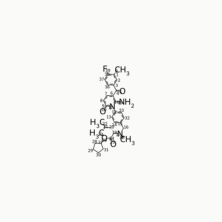 Cc1cc(C(=O)c2ccc(=O)n(-c3ccc(CN(C)[C@@H](CC(C)C)C(=O)OC4CCCC4)cc3)c2N)ccc1F